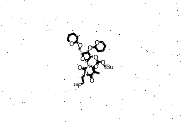 Cc1cn([C@@H]2O[C@H](COC3CCCCO3)[C@@H](OC3CCCCO3)[C@@H]2OC(=O)OC(C)(C)C)c(=O)n(CC[18F])c1=O